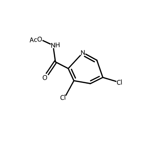 CC(=O)ONC(=O)c1ncc(Cl)cc1Cl